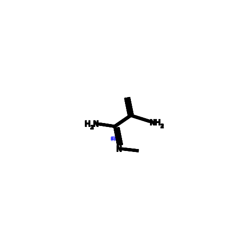 C=C(N)/C(N)=N\C